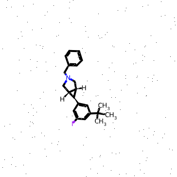 CC(C)(C)c1cc(I)cc([C@H]2[C@@H]3CN(Cc4ccccc4)C[C@@H]32)c1